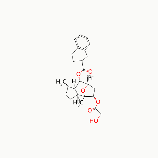 CC(C)[C@@]12C[C@@H](OC(=O)CO)C(C)(O1)[C@@H]1CC[C@@H](C)[C@H]1[C@@H]2OC(=O)C1CCc2ccccc2C1